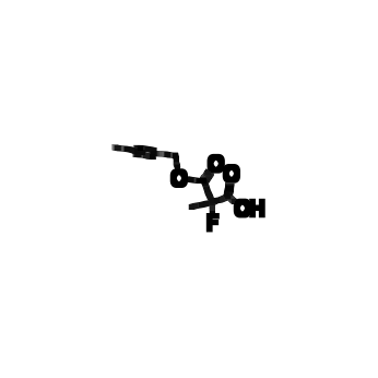 CC#CCOC(=O)C(C)(F)C(=O)O